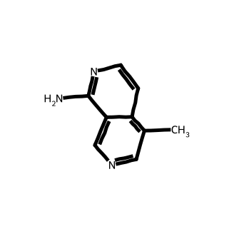 Cc1cncc2c(N)nccc12